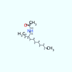 CCCCCCCCC(CC)CNCC(C)=O